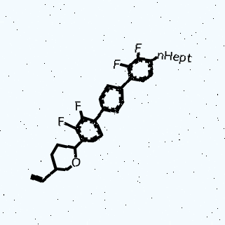 C=CC1CCC(c2ccc(-c3ccc(-c4ccc(CCCCCCC)c(F)c4F)cc3)c(F)c2F)OC1